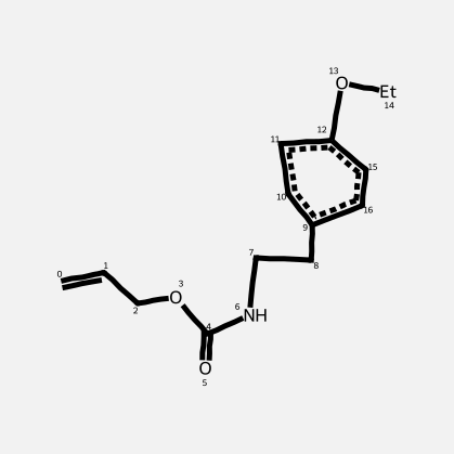 C=CCOC(=O)NCCc1ccc(OCC)cc1